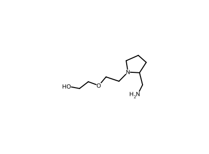 NCC1CCCN1CCOCCO